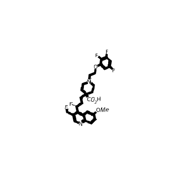 COc1ccc2ncc(CF)c([C@H](F)CCC3(C(=O)O)CCN(CCOc4cc(F)cc(F)c4F)CC3)c2c1